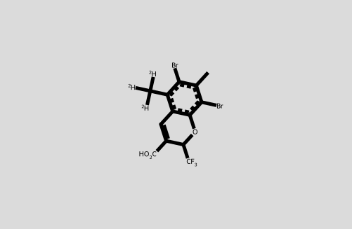 [2H]C([2H])([2H])c1c(Br)c(C)c(Br)c2c1C=C(C(=O)O)C(C(F)(F)F)O2